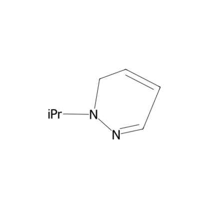 CC(C)N1CC=CC=N1